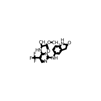 COC(=O)C(C)Nc1nc(Nc2ccc3c(c2)CC(=O)N3)ncc1C(F)(F)F